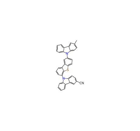 Cc1ccc2c(c1)c1ccccc1n2-c1ccc2sc3c(-n4c5ccccc5c5cc(C#N)ccc54)cccc3c2c1